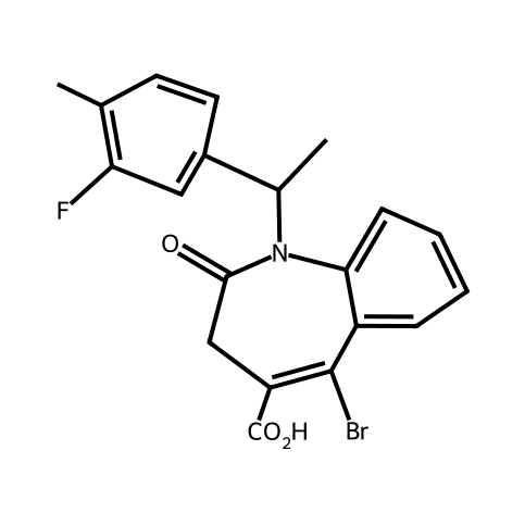 Cc1ccc(C(C)N2C(=O)CC(C(=O)O)=C(Br)c3ccccc32)cc1F